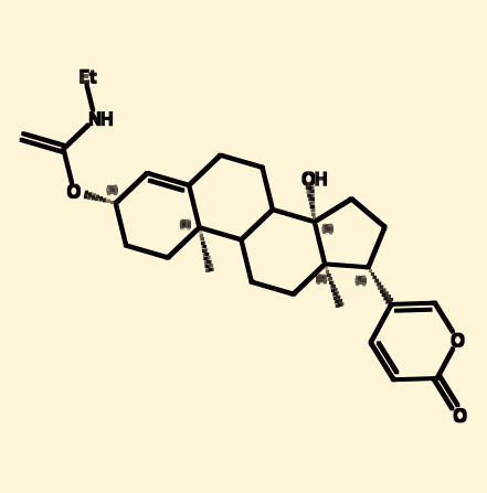 C=C(NCC)O[C@@H]1C=C2CCC3C(CC[C@]4(C)[C@@H](c5ccc(=O)oc5)CC[C@]34O)[C@@]2(C)CC1